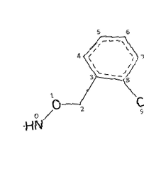 [NH]OCc1ccccc1Cl